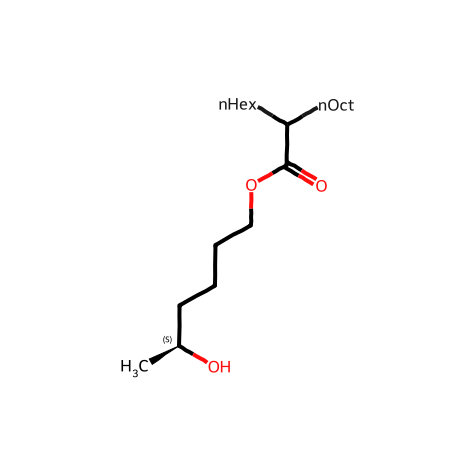 CCCCCCCCC(CCCCCC)C(=O)OCCCC[C@H](C)O